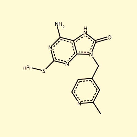 CCCSc1nc(N)c2[nH]c(=O)n(Cc3ccnc(C)c3)c2n1